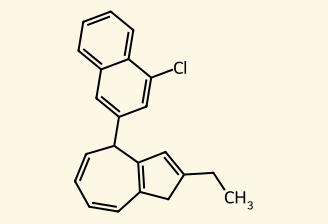 CCC1=CC2=C(C=CC=CC2c2cc(Cl)c3ccccc3c2)C1